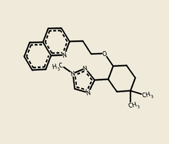 Cn1cnc(C2CC(C)(C)CCC2OCCc2ccc3ccccc3n2)n1